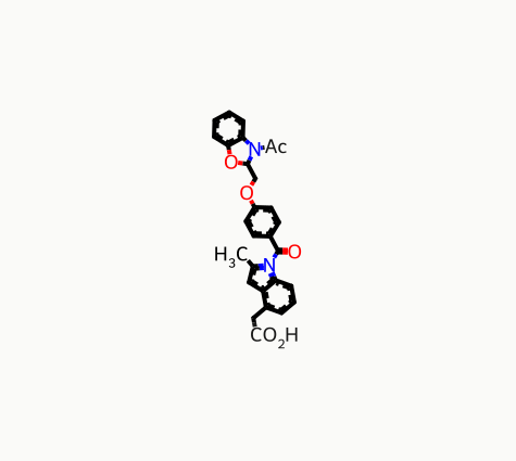 CC(=O)N1c2ccccc2OC1COc1ccc(C(=O)n2c(C)cc3c(CC(=O)O)cccc32)cc1